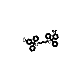 COc1ccc(C(OCCCCCOC(c2ccccc2)(c2ccccc2)c2cccc(N(C)C)c2)(c2ccccc2)c2ccccc2)cc1